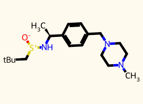 C[C@H](N[S+]([O-])CC(C)(C)C)c1ccc(CN2CCN(C)CC2)cc1